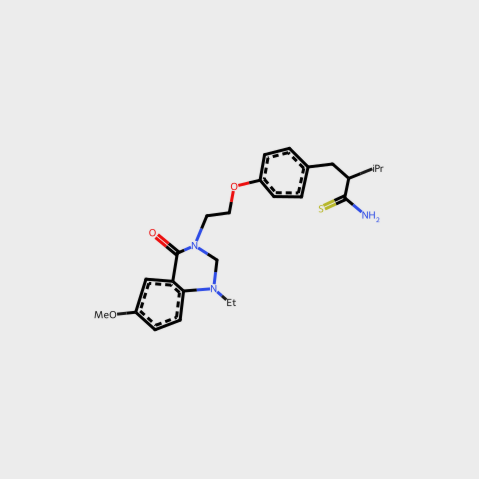 CCN1CN(CCOc2ccc(CC(C(N)=S)C(C)C)cc2)C(=O)c2cc(OC)ccc21